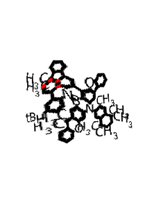 Cc1cc2c(cc1N1c3cc4c(cc3B3c5c1cc1c(oc6ccccc61)c5-c1cc5c(cc1N3c1ccc(C(C)(C)C)cc1-c1ccccc1)C(C)(C)c1ccccc1-5)C(C)(C)c1ccccc1O4)C(C)(C)CCC2(C)C